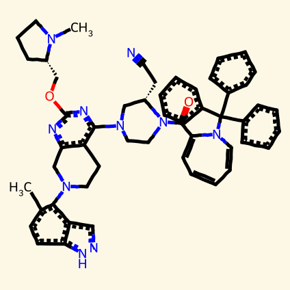 Cc1ccc2[nH]ncc2c1N1CCc2c(nc(OC[C@@H]3CCCN3C)nc2N2CCN(C(=O)C3=CC=CC=CN3C(c3ccccc3)(c3ccccc3)c3ccccc3)[C@@H](CC#N)C2)C1